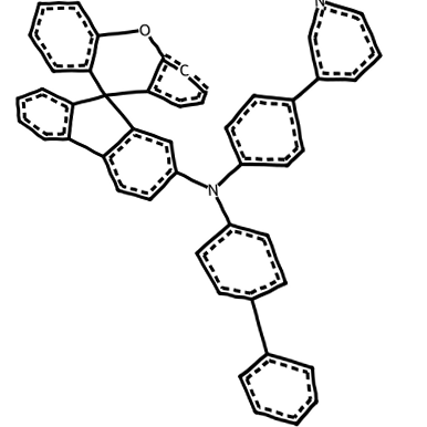 c1ccc(-c2ccc(N(c3ccc(-c4cccnc4)cc3)c3ccc4c(c3)C3(c5ccccc5Oc5ccccc53)c3ccccc3-4)cc2)cc1